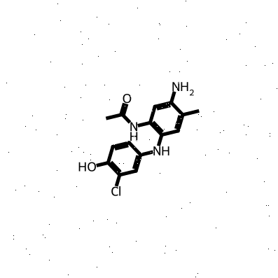 CC(=O)Nc1cc(N)c(C)cc1Nc1ccc(O)c(Cl)c1